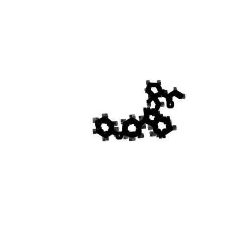 C=CC(=O)N1CCC[C@@]1(C)Cn1nc(-c2ccc(Oc3ccccc3)cc2)c2cncnc21